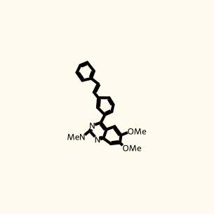 CNc1nc(-c2cccc(/C=C/c3ccccc3)c2)c2cc(OC)c(OC)cc2n1